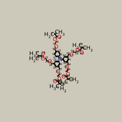 C=C(C)C(=O)OCCOCc1ccc(N(c2cc(COCCOC(=O)C(=C)C)cc(COCCOC(=O)C(=C)C)c2)c2cc(COCCOC(=O)C(=C)C)cc(COCCOC(=O)C(=C)C)c2)cc1